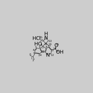 CC(C)c1ccc([C@](O)(c2cncc(C(=O)O)c2)C2(C)CNC2)cc1.Cl